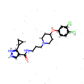 O=C(NCCCN1CCC(Oc2ccc(Cl)c(Cl)c2)CC1)c1cn[nH]c1C1CC1